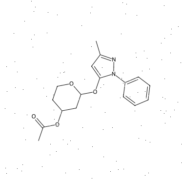 CC(=O)OC1CCOC(Oc2cc(C)nn2-c2ccccc2)C1